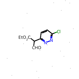 CCOC(=O)C(C=O)c1ccc(Cl)nn1